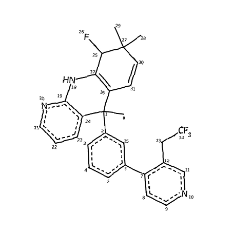 CC1(c2cccc(-c3ccncc3CC(F)(F)F)c2)C2=C(Nc3ncccc31)C(F)C(C)(C)C=C2